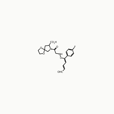 O=C/C=C/C=C(\ONCC(=O)N1CC2(CC1C(=O)O)OCCO2)c1ccc(F)cc1